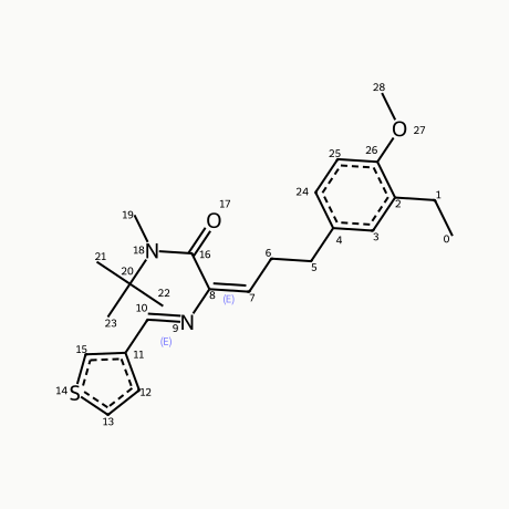 CCc1cc(CC/C=C(/N=C/c2ccsc2)C(=O)N(C)C(C)(C)C)ccc1OC